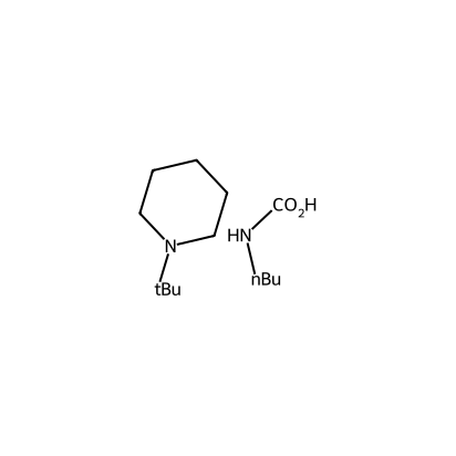 CC(C)(C)N1CCCCC1.CCCCNC(=O)O